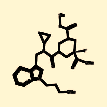 COCCCn1cc(CN(C(=O)C2CN(C(=O)OC(C)(C)C)C[C@@](F)(C(=O)OC)C2)C2CC2)c2ccccc21